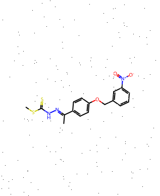 CSC(=S)N/N=C(\C)c1ccc(OCc2cccc([N+](=O)[O-])c2)cc1